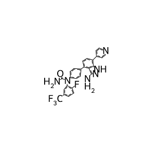 NC(=O)N(c1ccc(-c2ccc(-c3ccncc3)c3[nH]nc(N)c23)cc1)c1cc(C(F)(F)F)ccc1F